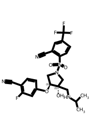 CC(C)NC[C@]1(O)CN(S(=O)(=O)c2ccc(C(F)(F)F)cc2C#N)C[C@@H]1Oc1ccc(C#N)c(F)c1